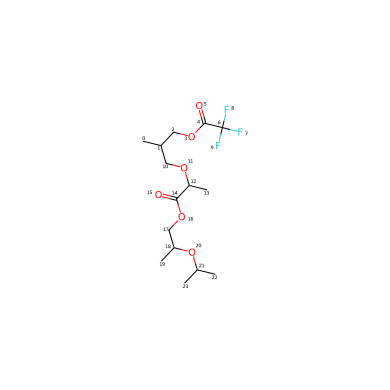 CC(COC(=O)C(F)(F)F)COC(C)C(=O)OCC(C)OC(C)C